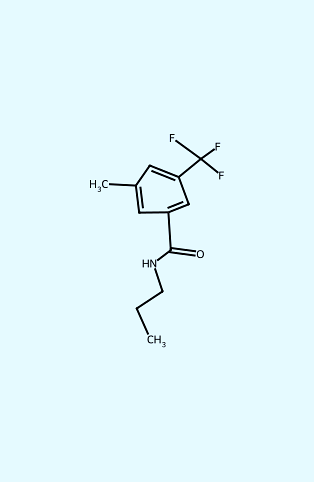 CCCNC(=O)c1cc(C)cc(C(F)(F)F)c1